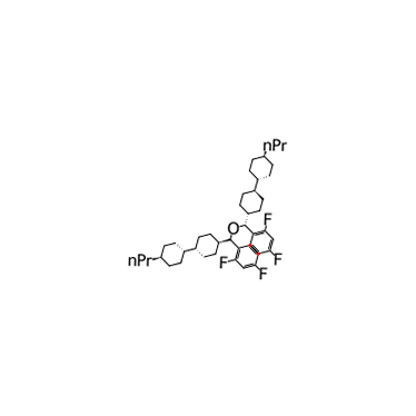 CCC[C@H]1CC[C@H]([C@H]2CC[C@H](C(OC(c3ccc(F)cc3F)[C@H]3CC[C@H]([C@H]4CC[C@H](CCC)CC4)CC3)c3ccc(F)cc3F)CC2)CC1